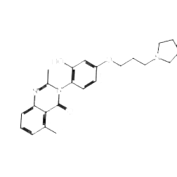 Cc1cccc2nc(C)n(-c3ccc(OCCCN4CCCC4)cc3O)c(=O)c12